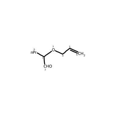 [CH2]CCC(C=O)OCC=C